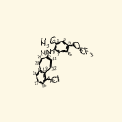 Cc1cc(OC(F)(F)F)ccc1NC1=C=Cc2c(Cl)cccc2C=C1